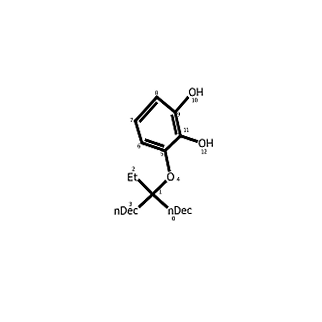 CCCCCCCCCCC(CC)(CCCCCCCCCC)Oc1cccc(O)c1O